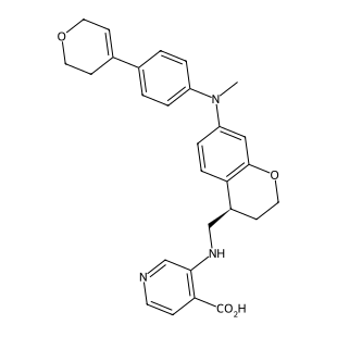 CN(c1ccc(C2=CCOCC2)cc1)c1ccc2c(c1)OCC[C@H]2CNc1cnccc1C(=O)O